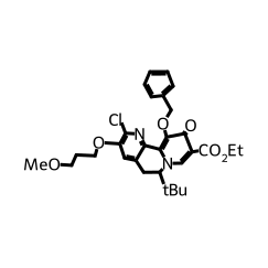 CCOC(=O)c1cn2c(c(OCc3ccccc3)c1=O)-c1nc(Cl)c(OCCCOC)cc1CC2C(C)(C)C